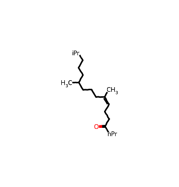 CCCC(=O)CCC=C(C)CCCC(C)CCCC(C)C